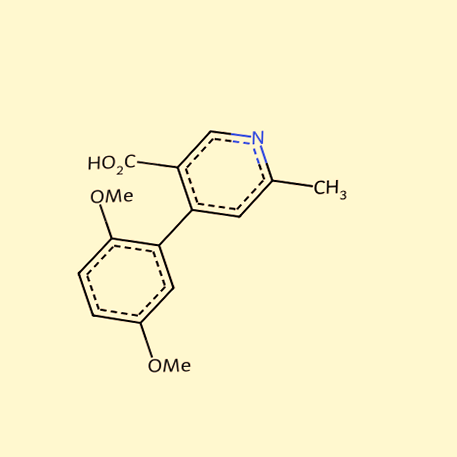 COc1ccc(OC)c(-c2cc(C)ncc2C(=O)O)c1